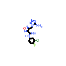 N=C(Nc1ccc(F)c(Cl)c1)c1nonc1Cn1nnnc1N